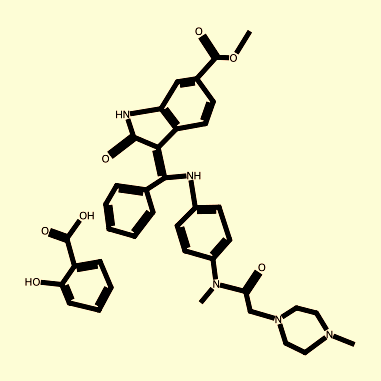 COC(=O)c1ccc2c(c1)NC(=O)C2=C(Nc1ccc(N(C)C(=O)CN2CCN(C)CC2)cc1)c1ccccc1.O=C(O)c1ccccc1O